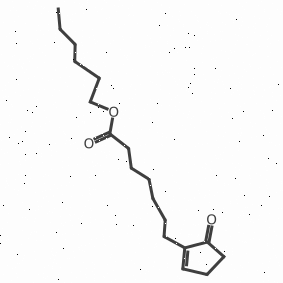 CCCCCCOC(=O)CCCCCCC1=CCCC1=O